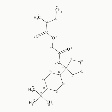 CCC(C)C(=O)OCC(=O)OC1(C2CCC(C(C)(C)C)CC2)CCCC1